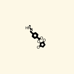 CN/N=C/c1ccc(C(=O)OC2C(=O)CCC2=O)cc1